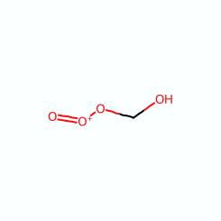 O=[O+]OCO